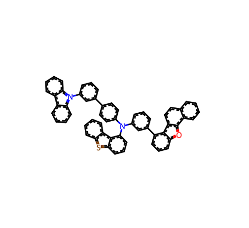 c1cc(-c2cccc3oc4c5ccccc5ccc4c23)cc(N(c2ccc(-c3cccc(-n4c5ccccc5c5ccccc54)c3)cc2)c2cccc3sc4ccccc4c23)c1